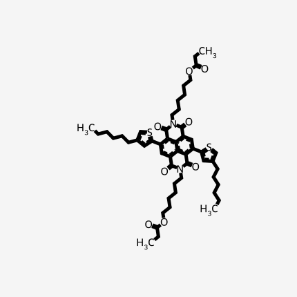 CCCCCCc1csc(-c2cc3c4c(c(-c5cc(CCCCCC)cs5)cc5c4c2C(=O)N(CCCCCCOC(=O)CC)C5=O)C(=O)N(CCCCCCOC(=O)CC)C3=O)c1